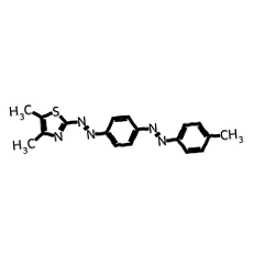 Cc1ccc(N=Nc2ccc(N=Nc3nc(C)c(C)s3)cc2)cc1